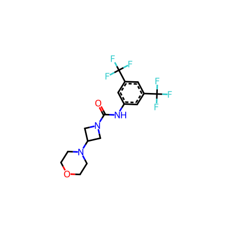 O=C(Nc1cc(C(F)(F)F)cc(C(F)(F)F)c1)N1CC(N2CCOCC2)C1